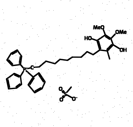 COc1c(O)c(C)c(CCCCCCCCCC[P+](c2ccccc2)(c2ccccc2)c2ccccc2)c(O)c1OC.CS(=O)(=O)[O-]